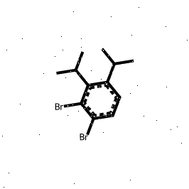 CC(C)c1ccc(Br)c(Br)c1C(C)C